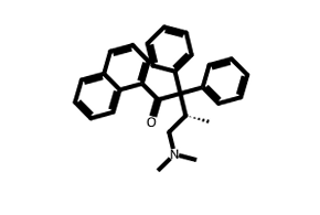 C[C@H](CN(C)C)C(C(=O)c1cccc2ccccc12)(c1ccccc1)c1ccccc1